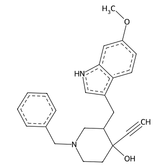 C#CC1(O)CCN(Cc2ccccc2)CC1Cc1c[nH]c2cc(OC)ccc12